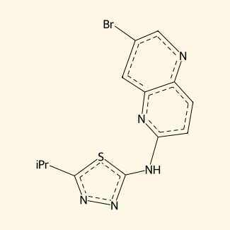 CC(C)c1nnc(Nc2ccc3ncc(Br)cc3n2)s1